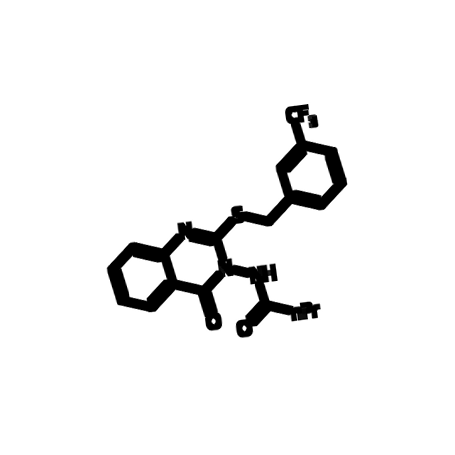 CCCC(=O)Nn1c(SCc2cccc(C(F)(F)F)c2)nc2ccccc2c1=O